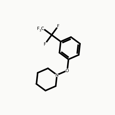 FC(F)(F)C(F)(F)c1cccc(ON2CC[CH]CC2)c1